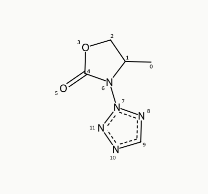 CC1COC(=O)N1n1ncnn1